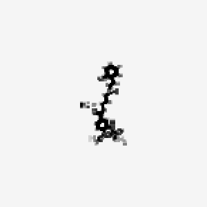 COc1ccc(C(=O)CCCCNCCc2ccccc2Cl)cc1NS(C)(=O)=O.Cl